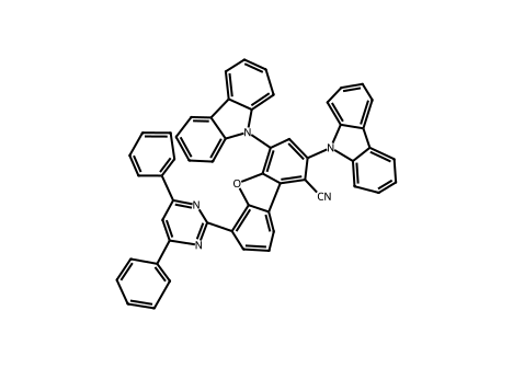 N#Cc1c(-n2c3ccccc3c3ccccc32)cc(-n2c3ccccc3c3ccccc32)c2oc3c(-c4nc(-c5ccccc5)cc(-c5ccccc5)n4)cccc3c12